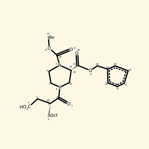 CCCCCCCC[C@H](CC(=O)O)C(=O)N1CCN(C(=O)OC(C)(C)C)[C@H](C(=O)OCc2ccccc2)C1